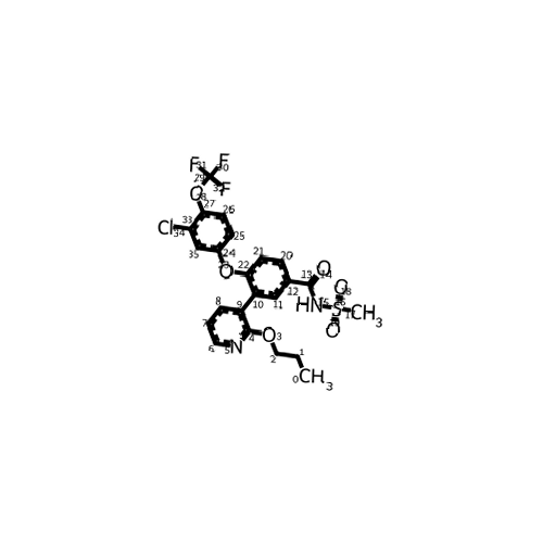 CCCOc1ncccc1-c1cc(C(=O)NS(C)(=O)=O)ccc1Oc1ccc(OC(F)(F)F)c(Cl)c1